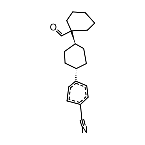 N#Cc1ccc([C@H]2CC[C@H](C3(C=O)CCCCC3)CC2)cc1